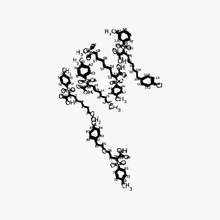 COCCCCCCC(C(=O)O)S(=O)(=O)c1ccc(C)cc1.CSCCCCCCC(C(=O)O)S(=O)(=O)c1ccc(C)cc1.Cc1ccc(S(=O)(=O)C(CCCCCCS(C)(=O)=O)C(=O)O)cc1.Cc1ccc(S(=O)(=O)C(CCOCCc2ccc(Cl)cc2)C(=O)O)cc1.Cc1cccc(S(=O)(=O)C(CCCCCCc2ccc(Cl)cc2)C(=O)O)c1